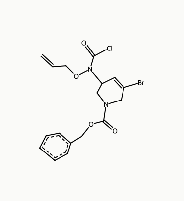 C=CCON(C(=O)Cl)C1C=C(Br)CN(C(=O)OCc2ccccc2)C1